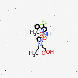 CCCCN(CCCC(=O)O)c1cccc(S(=O)(=O)Nc2ccc(C(F)(F)F)c(-c3ccccc3C)n2)n1